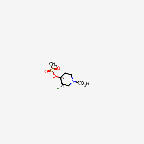 CS(=O)(=O)O[C@H]1CCN(C(=O)O)C[C@@H]1F